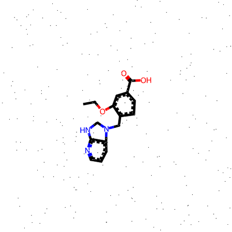 CCOc1cc(C(=O)O)ccc1CN1CNc2ncccc21